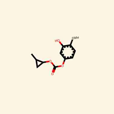 COc1ccc(OC(=O)OC2CC2C)cc1O